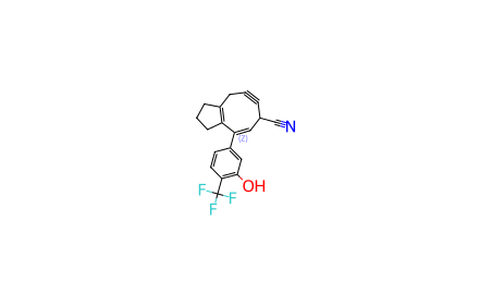 N#CC1C#CCC2=C(CCC2)/C(c2ccc(C(F)(F)F)c(O)c2)=C\1